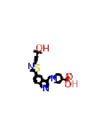 CC(C)(O)C#Cc1ncc(-c2ccc3cncc(CN4CCC(C(=O)O)CC4)c3c2)s1